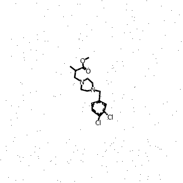 COC(=O)C(C)CN1CCN(Cc2ccc(Cl)c(Cl)c2)CC1